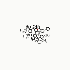 CC(C)(C)c1cc2c3c(c1)C1(C)CCCCC1(C)N3c1c3c(cc4ccccc14)-c1c(ccc4c1-c1cc5c(cc1C4(C)C)C(C)(C)CCC5(C)C)N(c1ccc(-c4ccccc4)cc1-c1ccccc1)B23